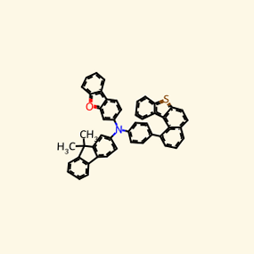 CC1(C)c2ccccc2-c2ccc(N(c3ccc(-c4cccc5ccc6sc7ccccc7c6c45)cc3)c3ccc4c(c3)oc3ccccc34)cc21